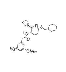 COc1cc(O)cc(CC(=O)Nc2ccc(SCC3CCCCC3)nc2N2CCCC2)c1